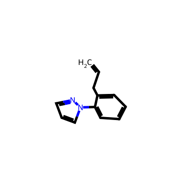 C=CCc1ccccc1-n1cccn1